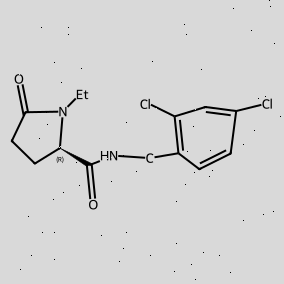 CCN1C(=O)CC[C@@H]1C(=O)NCc1ccc(Cl)cc1Cl